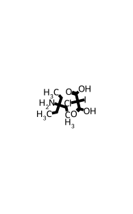 CCC(N)(CC)CC.O=C(O)C(Cl)(I)C(=O)O